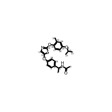 CC(=O)NC(C)c1ccc(Oc2cnc(Oc3ccc(OC(C)C)cc3C)s2)cc1